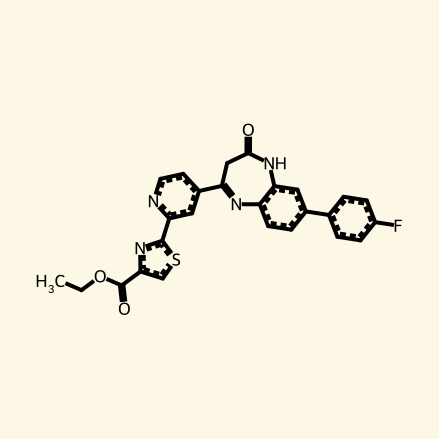 CCOC(=O)c1csc(-c2cc(C3=Nc4ccc(-c5ccc(F)cc5)cc4NC(=O)C3)ccn2)n1